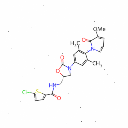 COc1cccn(-c2c(C)cc(N3C[C@H](CNC(=O)c4ccc(Cl)s4)OC3=O)cc2C)c1=O